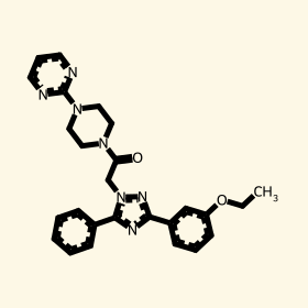 CCOc1cccc(-c2nc(-c3ccccc3)n(CC(=O)N3CCN(c4ncccn4)CC3)n2)c1